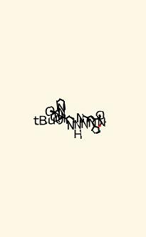 CN(C)C(=O)c1cc2cnc(Nc3ccc(C(=O)N4CC5CCCC(N5)C4C(=O)OC(C)(C)C)cn3)nc2n1C1CCCC1